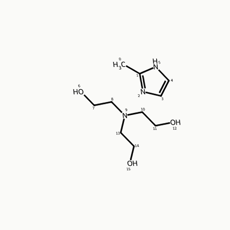 Cc1ncc[nH]1.OCCN(CCO)CCO